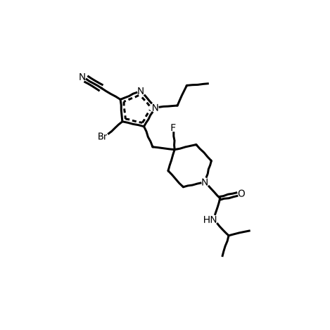 CCCn1nc(C#N)c(Br)c1CC1(F)CCN(C(=O)NC(C)C)CC1